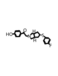 O=C(CN1C[C@H]2C[C@@H](Sc3ccc(F)cc3)C[C@H]2C1)c1ccc(O)cc1